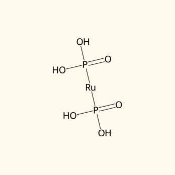 O=[P](O)(O)[Ru][P](=O)(O)O